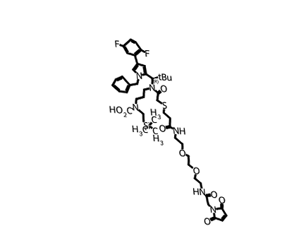 CC(C)(C)[C@H](c1cc(-c2cc(F)ccc2F)cn1Cc1ccccc1)N(CCCN(CC[Si](C)(C)C)C(=O)O)C(=O)CSCCC(=O)NCCOCCOCCNC(=O)CN1C(=O)C=CC1=O